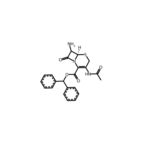 CC(=O)NC1=C(C(=O)OC(c2ccccc2)c2ccccc2)N2C(=O)C(N)[C@H]2SC1